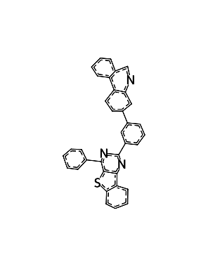 c1ccc(-c2nc(-c3cccc(-c4ccc5c(c4)ncc4ccccc45)c3)nc3c2sc2ccccc23)cc1